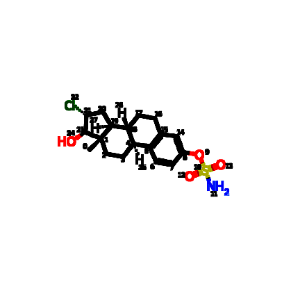 C[C@]12CC[C@@H]3c4ccc(OS(N)(=O)=O)cc4CC[C@H]3[C@@H]1C[C@@H](Cl)[C@@H]2O